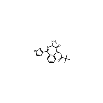 CC(C)(C)C(=O)CN1C(=O)C(N)N=C(c2cc[nH]n2)c2ccccc21